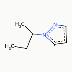 CCC(C)n1[c]ccn1